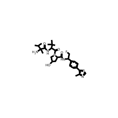 Cc1ncsc1-c1ccc(C(CF)NC(=O)C2CC(O)CN2C(=O)C(NC(=O)C(C)(N)C(C)C)C(C)(C)C)cc1